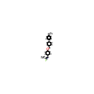 CCCc1ccc([C@H]2CC[C@H](CO[C@H]3CC[C@H](/C=C(/F)C#N)CC3)CC2)cc1